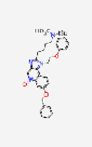 CC(C)(C)N(CCCCc1nc2c[n+]([O-])c3cc(OCc4ccccc4)ccc3c2n1CCOc1ccccc1)C(=O)O